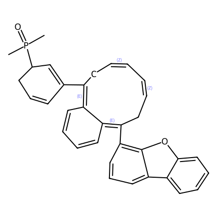 CP(C)(=O)C1C=C(/C2=c3\cccc\c3=C(/c3cccc4c3oc3ccccc34)C/C=C\C=C/C2)C=CC1